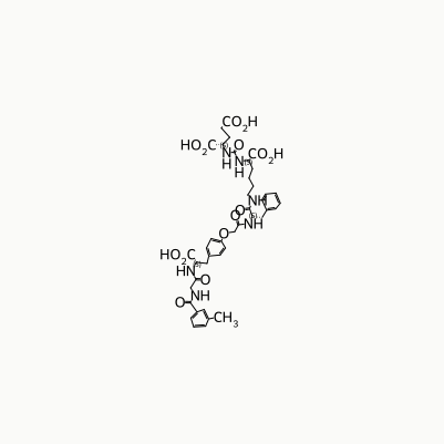 Cc1cccc(C(=O)NCC(=O)N[C@@H](Cc2ccc(OCC(=O)N[C@@H](Cc3ccccc3)C(=O)NCCCC[C@H](NC(=O)N[C@@H](CCC(=O)O)C(=O)O)C(=O)O)cc2)C(=O)O)c1